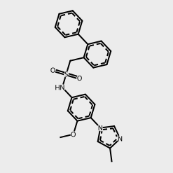 COc1cc(NS(=O)(=O)Cc2ccccc2-c2ccccc2)ccc1-n1cnc(C)c1